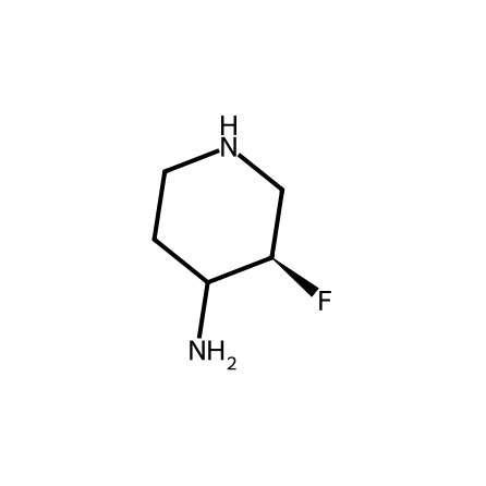 NC1CCNC[C@H]1F